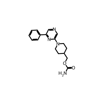 NC(=O)OCC1CCN(c2cncc(-c3ccccc3)n2)CC1